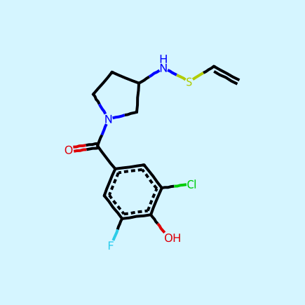 C=CSNC1CCN(C(=O)c2cc(F)c(O)c(Cl)c2)C1